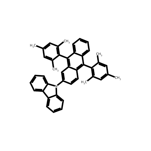 Cc1cc(C)c(-c2c3ccccc3c(-c3c(C)cc(C)cc3C)c3cc(-n4c5ccccc5c5ccccc54)ccc23)c(C)c1